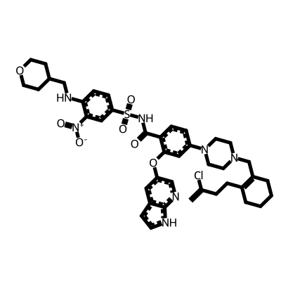 C=C(Cl)CCC1=C(CN2CCN(c3ccc(C(=O)NS(=O)(=O)c4ccc(NCC5CCOCC5)c([N+](=O)[O-])c4)c(Oc4cnc5[nH]ccc5c4)c3)CC2)CCCC1